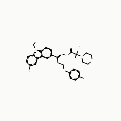 CCn1c2ccc(Br)cc2c2cc(/C(CCSc3ccc(Cl)cc3)=N/OC(=O)C(C)(C)N3CCOCC3)ccc21